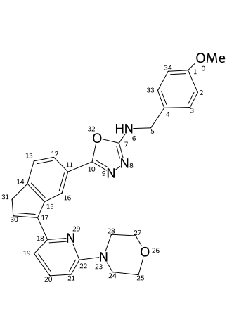 COc1ccc(CNc2nnc(-c3ccc4c(c3)C(c3cccc(N5CCOCC5)n3)=CC4)o2)cc1